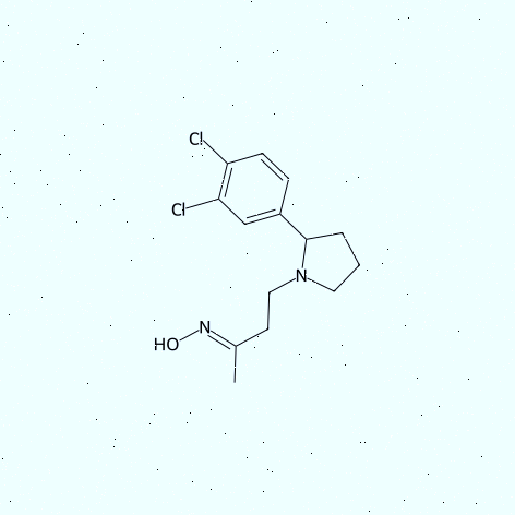 CC(CCN1CCCC1c1ccc(Cl)c(Cl)c1)=NO